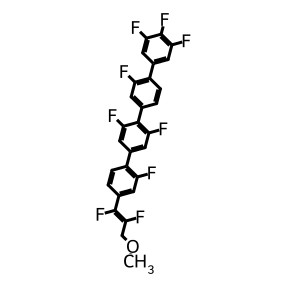 COC/C(F)=C(\F)c1ccc(-c2cc(F)c(-c3ccc(-c4cc(F)c(F)c(F)c4)c(F)c3)c(F)c2)c(F)c1